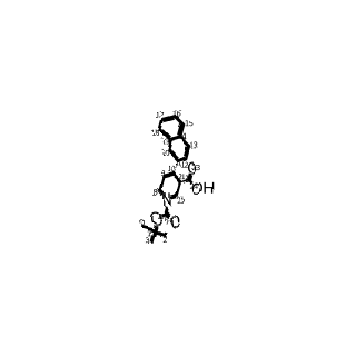 CC(C)(C)OC(=O)N1CC[C@H](c2ccc3ccccc3c2)[C@@H](C(=O)O)C1